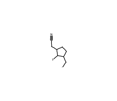 [CH2]CC1C[CH]C(CC#N)C1F